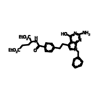 CCOC(=O)CC[C@H](NC(=O)c1ccc(CCc2cn(Cc3ccccc3)c3nc(N)nc(O)c23)cc1)C(=O)OCC